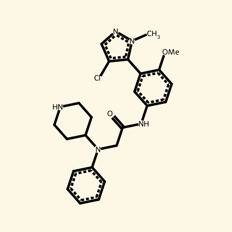 COc1ccc(NC(=O)CN(c2ccccc2)C2CCNCC2)cc1-c1c(Cl)cnn1C